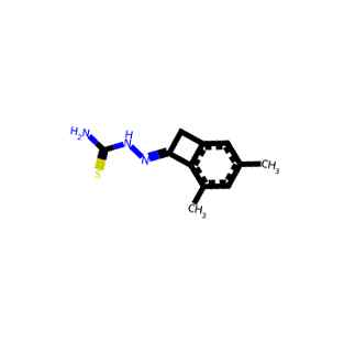 Cc1cc(C)c2c(c1)CC2=NNC(N)=S